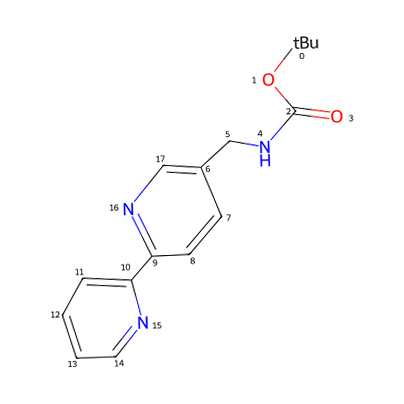 CC(C)(C)OC(=O)NCc1ccc(-c2ccccn2)nc1